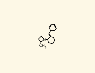 CC1CCN1C1CCCCC1=Cc1ccccc1